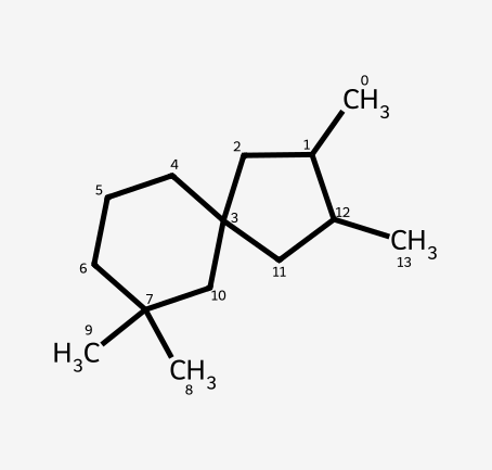 CC1CC2(CCCC(C)(C)C2)CC1C